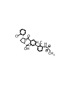 CCS(=O)(=O)Nc1cccc(-c2ccc(C(=O)N3[C@@H](c4ccccc4Cl)CC[C@H]3C(=O)O)cc2)c1C